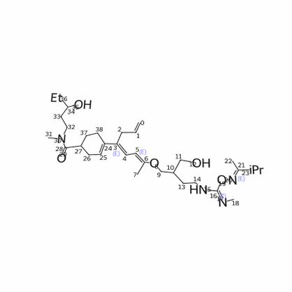 C=CC/C(=C\C=C(/C)OCC(CO)CCN/C(=N/C)O/N=C(\C)C(C)C)C1=CCC(C(=O)N(C)CCC(O)CC)CC1